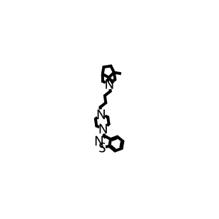 CC12CCC(CN(CCCCN3CCN(c4nsc5ccccc45)CC3)C1)C2(C)C